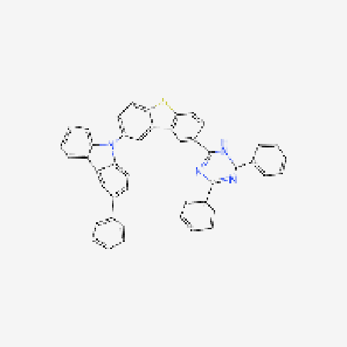 c1ccc(C2=NC(c3ccccc3)NC(c3ccc4sc5ccc(-n6c7ccccc7c7cc(-c8ccccc8)ccc76)cc5c4c3)=N2)cc1